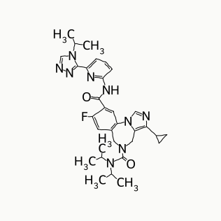 CC(C)N(C(=O)N1Cc2cc(F)c(C(=O)Nc3cccc(-c4nncn4C(C)C)n3)cc2-n2cnc(C3CC3)c2C1)C(C)C